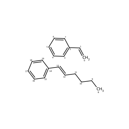 C=Cc1ccccc1.CCCCC=Cc1ccccc1